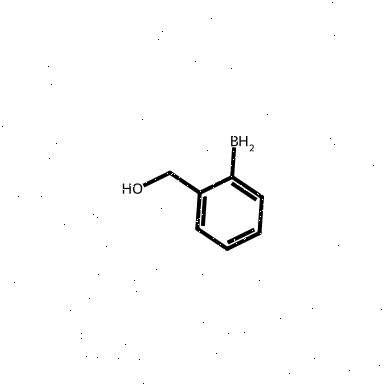 Bc1ccccc1CO